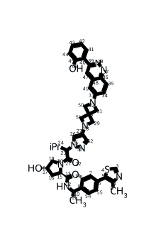 Cc1ncsc1-c1ccc(C(C)NC(=O)[C@H]2C[C@H](O)CN2C(=O)C(C(C)C)n2cc(N3CC4(CN(c5ccc6nnc(-c7ccccc7O)cc6c5)C4)C3)cn2)cc1